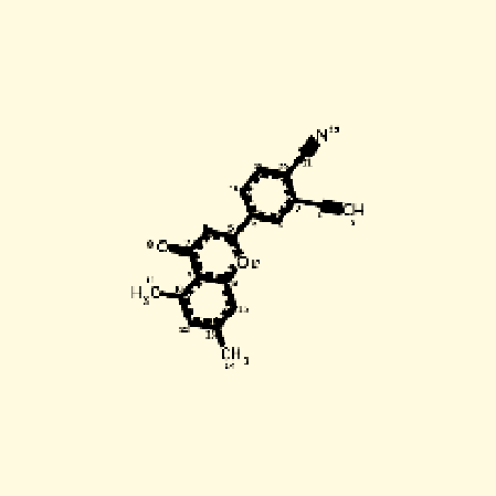 C#Cc1cc(-c2cc(=O)c3c(C)cc(C)cc3o2)ccc1C#N